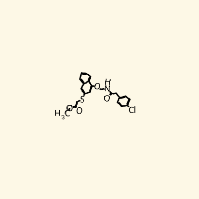 COC(=O)CSc1cc(OCNC(=O)Cc2ccc(Cl)cc2)c2ccccc2c1